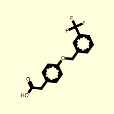 O=C(O)Cc1ccc(OCc2cccc(C(F)(F)F)c2)cc1